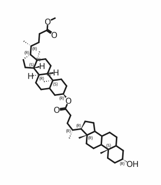 COC(=O)CC[C@@H](C)[C@H]1CC[C@H]2[C@@H]3CCC4C[C@H](OC(=O)CC[C@@H](C)[C@H]5CCC6C7CCC8C[C@H](O)CC[C@]8(C)C7CC[C@@]65C)CC[C@]4(C)[C@H]3CC[C@]12C